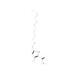 CCCCCCCCCCCc1cc(Cl)c(C(=O)O)[nH]1